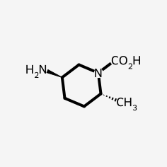 C[C@@H]1CC[C@@H](N)CN1C(=O)O